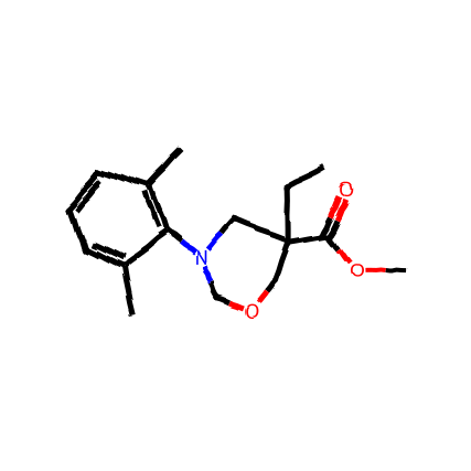 CCC1(C(=O)OC)COCN(c2c(C)cccc2C)C1